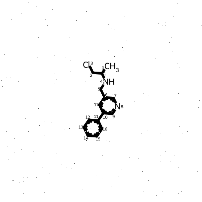 CC(CCl)NCc1cncc(-c2ccccc2)c1